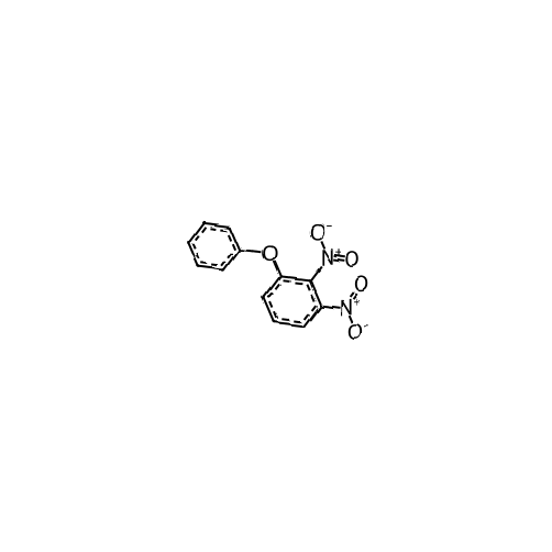 O=[N+]([O-])c1cccc(Oc2ccccc2)c1[N+](=O)[O-]